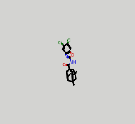 CC12CC3CC(C)(C1)CC(C(=O)Nc1nc4cc(Cl)c(Cl)cc4o1)(C3)C2